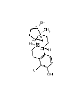 C[C@]12CC[C@@H]3c4ccc(O)c(Cl)c4CC[C@H]3[C@@H]1CC[C@@H]2O